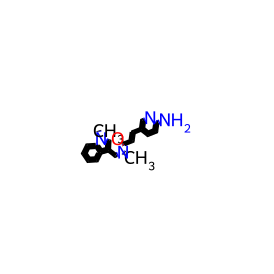 CN(Cc1cn(C)c2ccccc12)C(=O)C=Cc1ccc(N)nc1